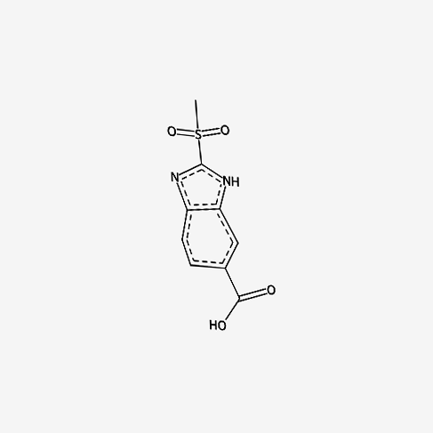 CS(=O)(=O)c1nc2ccc(C(=O)O)cc2[nH]1